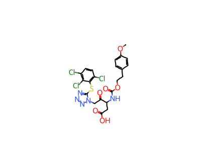 COc1ccc(CCOC(=O)NC(CC(=O)O)C(=O)Cn2nnnc2Sc2c(Cl)ccc(Cl)c2Cl)cc1